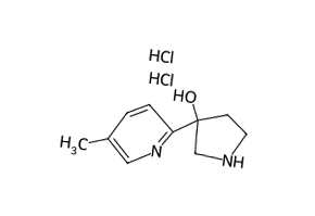 Cc1ccc(C2(O)CCNC2)nc1.Cl.Cl